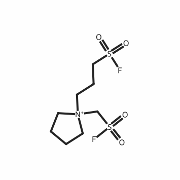 O=S(=O)(F)CCC[N+]1(CS(=O)(=O)F)CCCC1